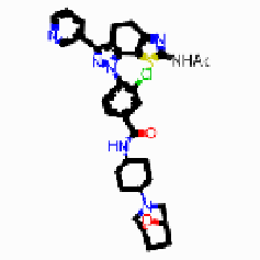 CC(=O)Nc1nc2c(s1)-c1c(c(-c3cccnc3)nn1-c1ccc(C(=O)N[C@H]3CC[C@H](N4CC5CCC(C4)O5)CC3)cc1Cl)CC2